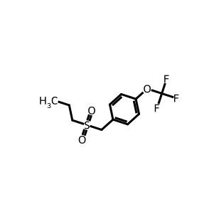 CCCS(=O)(=O)Cc1ccc(OC(F)(F)F)cc1